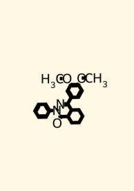 COc1ccc(C2=NN(c3ccccc3)C(=O)C3CCCCC23)cc1OC